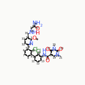 COc1nc(-c2cccc(-c3cccc(NC(=O)c4cn(C)c(=O)n(C)c4=O)c3Cl)c2Cl)ccc1CNC[C@@H](N)O